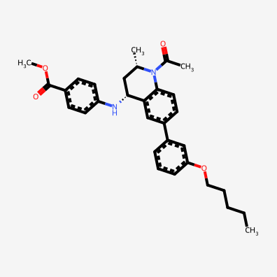 CCCCCOc1cccc(-c2ccc3c(c2)[C@H](Nc2ccc(C(=O)OC)cc2)C[C@H](C)N3C(C)=O)c1